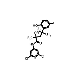 CC(C)(CC(O)(C(=O)Nc1cc(Cl)nc(Cl)c1)C(F)(F)F)c1cc(F)ccc1O